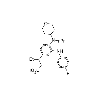 CCCN(c1ccc([C@H](CC)CC(=O)O)cc1Nc1ccc(F)cc1)C1CCOCC1